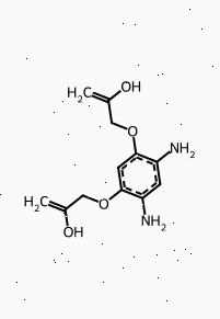 C=C(O)COc1cc(OCC(=C)O)c(N)cc1N